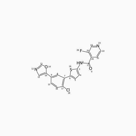 O=C(Nc1ccc(-c2cc(-c3cnco3)ccc2Cl)s1)c1ccncc1F